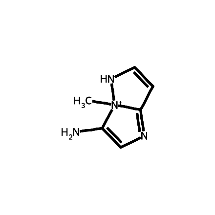 C[N+]12NC=CC1=NC=C2N